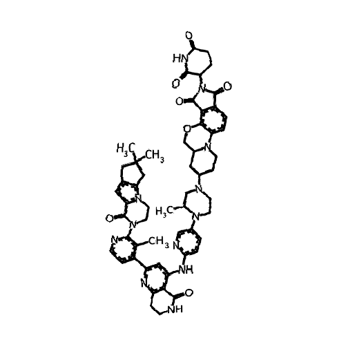 Cc1c(-c2cc(Nc3ccc(N4CCN(C5CCN6c7ccc8c(c7OCC6C5)C(=O)N(C5CCC(=O)NC5=O)C8=O)C[C@@H]4C)cn3)c3c(n2)CCNC3=O)ccnc1N1CCn2c(cc3c2CC(C)(C)C3)C1=O